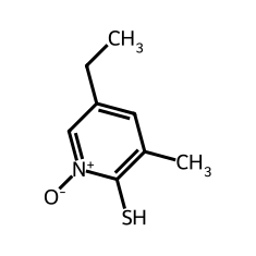 CCc1cc(C)c(S)[n+]([O-])c1